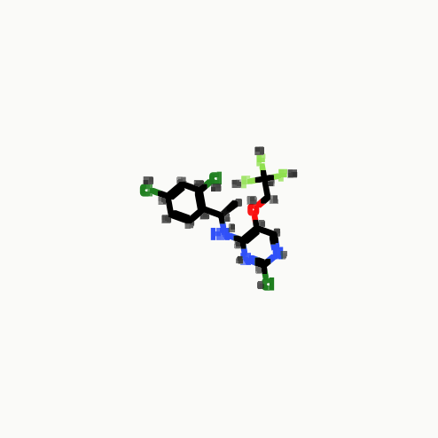 C[C@@H](Nc1nc(Cl)ncc1OCC(F)(F)F)c1ccc(Cl)cc1Cl